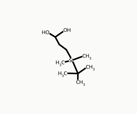 CC(C)(C)[Si](C)(C)CCC(O)O